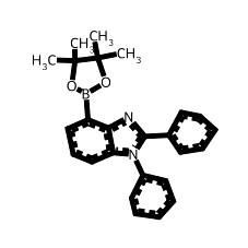 CC1(C)OB(c2cccc3c2nc(-c2ccccc2)n3-c2ccccc2)OC1(C)C